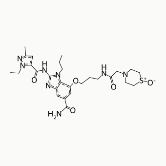 CCCn1c(NC(=O)c2cc(C)nn2CC)nc2cc(C(N)=O)cc(OCCCNC(=O)CN3CC[S+]([O-])CC3)c21